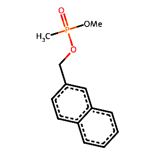 COP(C)(=O)OCc1ccc2ccccc2c1